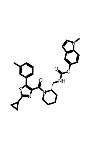 Cc1cccc(-c2sc(C3CC3)nc2C(=O)N2CCCC[C@H]2CNC(=O)Oc2ccc3c(ccn3C)c2)c1